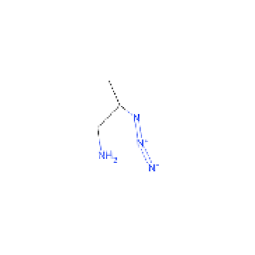 CC(CN)N=[N+]=[N-]